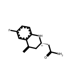 C=C1C[C@@H](CC(N)=O)Nc2ccc(F)cc21